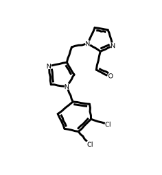 O=Cc1nccn1Cc1cn(-c2ccc(Cl)c(Cl)c2)cn1